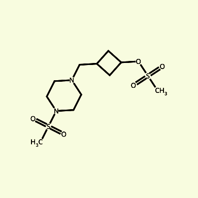 CS(=O)(=O)OC1CC(CN2CCN(S(C)(=O)=O)CC2)C1